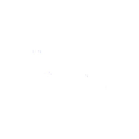 Nc1cccc(-c2cccc(Cl)n2)c1N